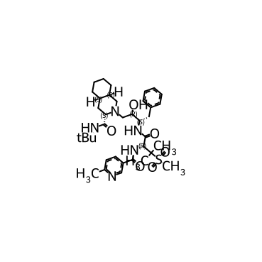 Cc1ccc(C(=O)N[C@H](C(=O)N[C@@H](Cc2ccccc2)[C@H](O)CN2C[C@H]3CCCC[C@H]3C[C@H]2C(=O)NC(C)(C)C)C(C)(C)S(C)(=O)=O)cn1